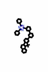 CC1(C)c2cc(-c3cccc(-c4cccc(-c5nc(-c6ccccc6)nc(-c6ccccc6)n5)c4)c3)ccc2-c2ccc3ccccc3c21